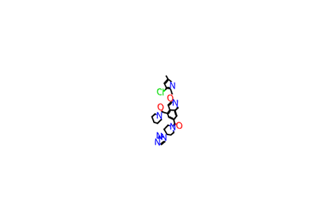 Cc1cnc(COc2cc3c(C(=O)N4CCCCC4)cc(C(=O)N4CCC(n5ccnn5)CC4)cc3cn2)c(Cl)c1